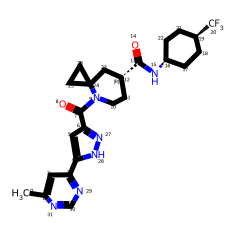 Cc1cc(-c2cc(C(=O)N3CC[C@@H](C(=O)N[C@H]4CC[C@H](C(F)(F)F)CC4)CC34CC4)n[nH]2)ncn1